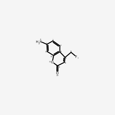 Nc1ccc2c(CF)cc(=O)oc2c1